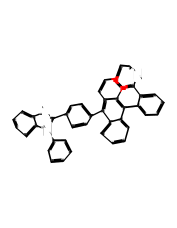 c1ccc(-n2c(-c3ccc(-c4c5ccccc5c(-c5ccccc5-c5ccccn5)c5ccccc45)cc3)nc3ccccc32)cc1